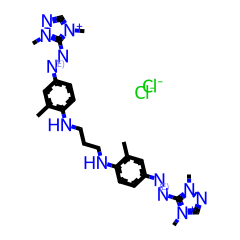 Cc1cc(/N=N/c2n(C)nc[n+]2C)ccc1NCCCNc1ccc(/N=N/c2n(C)nc[n+]2C)cc1C.[Cl-].[Cl-]